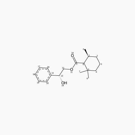 C[C@H]1CCCC(C)(C)C1C(=O)OC[C@H](O)c1ccccc1